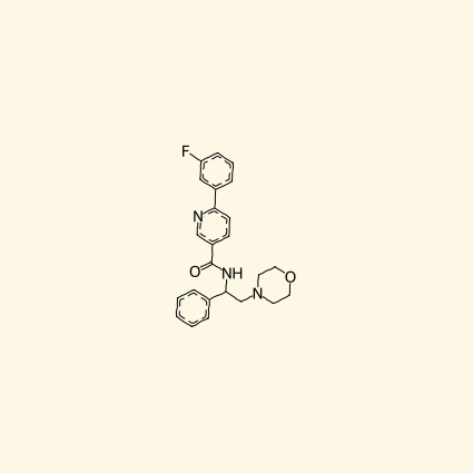 O=C(NC(CN1CCOCC1)c1ccccc1)c1ccc(-c2cccc(F)c2)nc1